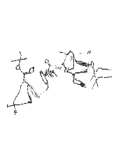 CC1=C[C@@H]2CN(C(=O)N2O[Si](C)(C)C(C)(C)C)[C@@H]1C(=O)NOC[C@@H]1CC(F)(F)CN1C(=O)OC(C)(C)C